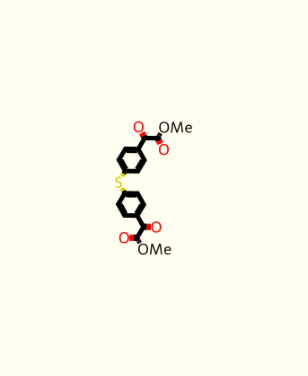 COC(=O)C(=O)c1ccc(Sc2ccc(C(=O)C(=O)OC)cc2)cc1